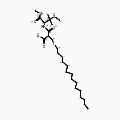 CCCCCCCCCCCCCCCCCC(C(=O)O)C(=O)N[C@@H](C(=O)NC)C(C)(C)SC